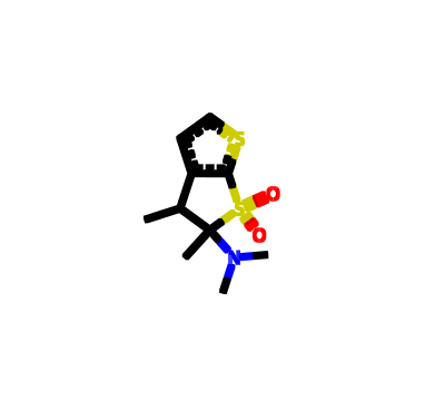 CC1c2ccsc2S(=O)(=O)C1(C)N(C)C